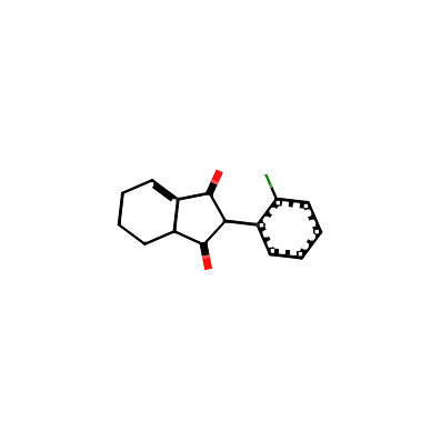 O=C1C2=CCCCC2C(=O)C1c1ccccc1Cl